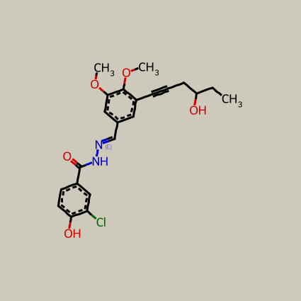 CCC(O)CC#Cc1cc(/C=N/NC(=O)c2ccc(O)c(Cl)c2)cc(OC)c1OC